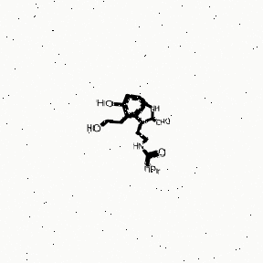 CCCC(=O)NCCC1c2c(ccc(O)c2CCO)NC1C=O